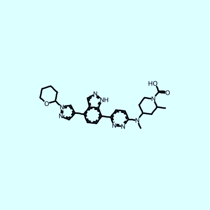 CC1CC(N(C)c2ccc(-c3ccc(-c4cnn(C5CCCCO5)c4)c4cn[nH]c34)nn2)CCN1C(=O)O